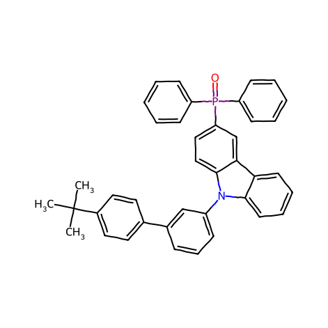 CC(C)(C)c1ccc(-c2cccc(-n3c4ccccc4c4cc(P(=O)(c5ccccc5)c5ccccc5)ccc43)c2)cc1